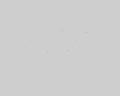 CC(=O)N1CCn2c(C3CCOCC3)nc(-c3cccc4cc(OS(=O)(=O)C(F)(F)F)ncc34)c2C1